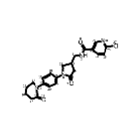 O=C(NCC1CC(=O)N(c2ccc(N3CCCCC3=O)cc2)C1)c1ccc(Cl)nc1